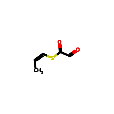 C/C=C\SC(=O)C=O